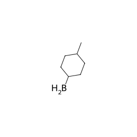 BC1CCC(C)CC1